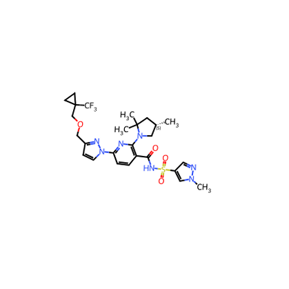 C[C@@H]1CN(c2nc(-n3ccc(COCC4(C(F)(F)F)CC4)n3)ccc2C(=O)NS(=O)(=O)c2cnn(C)c2)C(C)(C)C1